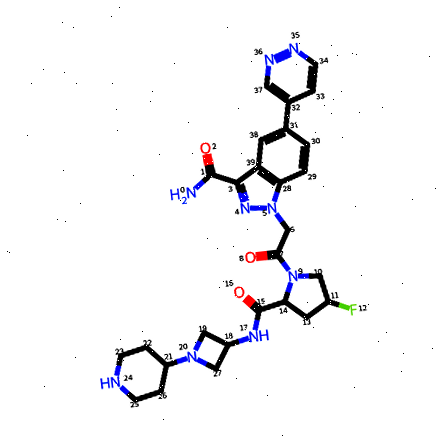 NC(=O)c1nn(CC(=O)N2CC(F)CC2C(=O)NC2CN(C3CCNCC3)C2)c2ccc(-c3ccnnc3)cc12